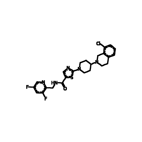 O=C(NCc1ncc(F)cc1F)c1cnc(N2CCC(N3CCc4cccc(Cl)c4C3)CC2)s1